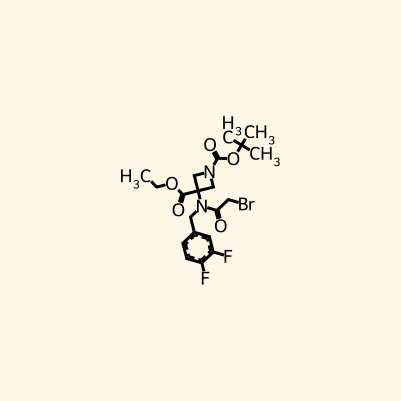 CCOC(=O)C1(N(Cc2ccc(F)c(F)c2)C(=O)CBr)CN(C(=O)OC(C)(C)C)C1